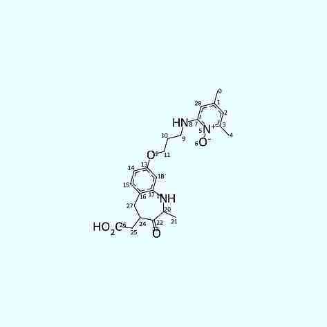 Cc1cc(C)[n+]([O-])c(NCCCOc2ccc3c(c2)NC(C)C(=O)C(CC(=O)O)C3)c1